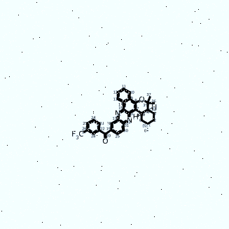 C[C@H]1CC[C@H]2[C@H](C1)c1c(c3ccccc3c3nc4cc(C(=O)c5cccc(C(F)(F)F)c5)ccc4nc13)OC2(C)C